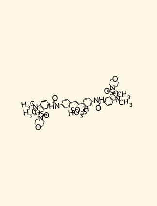 CN(C)c1ccc(C(=O)Nc2ccc(C=Cc3ccc(NC(=O)c4ccc(N(C)C)c(S(=O)(=O)N5CCOCC5)c4)cc3S(=O)(=O)O)c(S(=O)(=O)O)c2)cc1S(=O)(=O)N1CCOCC1